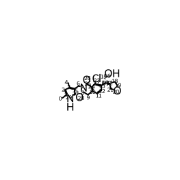 Cc1cc(C)c(CN2CCc3ccc([C@H](CO)[C@H]4CCOC4)c(Cl)c3C2=O)c(=O)[nH]1